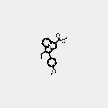 CCc1c(-c2ccc(OC)cc2)c2cc(C(=O)OC)c3cccc1n32